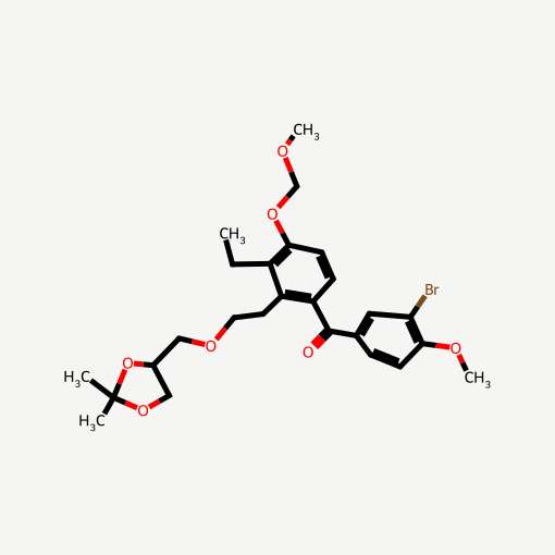 CCc1c(OCOC)ccc(C(=O)c2ccc(OC)c(Br)c2)c1CCOCC1COC(C)(C)O1